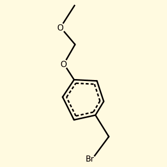 COCOc1ccc(CBr)cc1